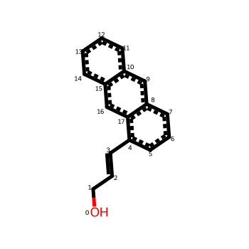 OCC=Cc1cccc2cc3ccccc3cc12